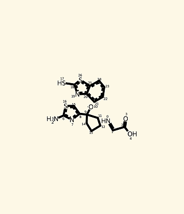 N=CC(=O)O.Nc1nc(C2([O])CCCC2)cs1.Sc1nc2ccccc2s1